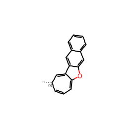 C[C@H]1C=CC=c2oc3cc4ccccc4cc3c2=C1